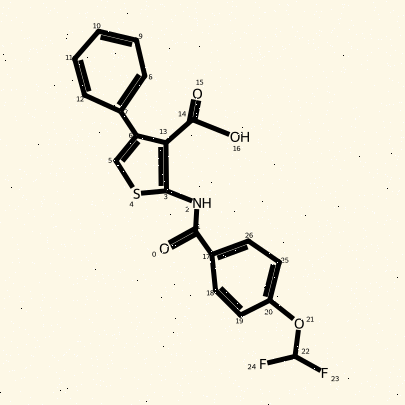 O=C(Nc1scc(-c2ccccc2)c1C(=O)O)c1ccc(OC(F)F)cc1